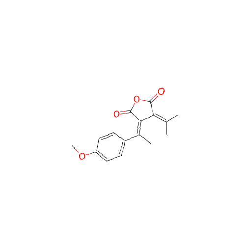 COc1ccc(C(C)=C2C(=O)OC(=O)C2=C(C)C)cc1